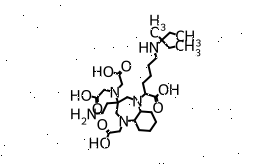 CCC(C)(CC)NCCCCC(C(=O)O)N1CC(CCN)(N(CC(=O)O)CC(=O)O)CN(CC(=O)O)C2CCCCC21